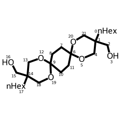 CCCCCCC1(CO)COC2(CCC3(CC2)OCC(CO)(CCCCCC)CO3)OC1